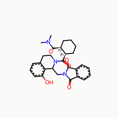 CN(C)C(=O)[C@H]1CCCC[C@H]1C(=O)N1CCc2cccc(O)c2C1CN1C(=O)c2ccccc2C1=O